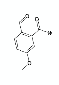 COc1ccc(C=O)c(C([N])=O)c1